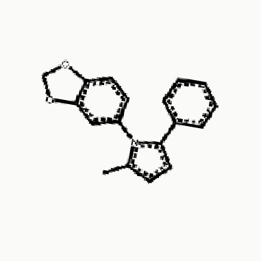 Cc1[c]cc(-c2ccccc2)n1-c1ccc2c(c1)OCO2